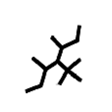 [CH2]C(C)(C)C(C(C)CC)C(C)CC